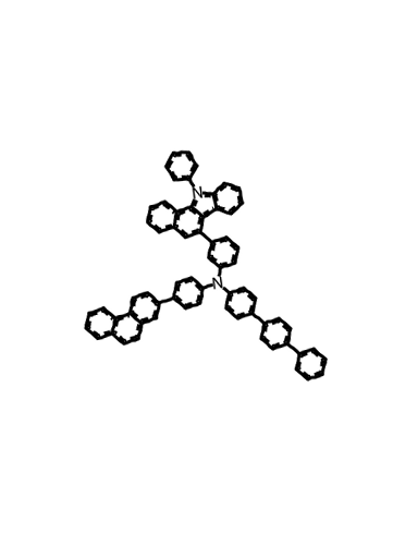 c1ccc(-c2ccc(-c3ccc(N(c4ccc(-c5ccc6c(ccc7ccccc76)c5)cc4)c4cccc(-c5cc6ccccc6c6c5c5ccccc5n6-c5ccccc5)c4)cc3)cc2)cc1